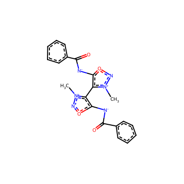 C[n+]1noc([N-]C(=O)c2ccccc2)c1-c1c([N-]C(=O)c2ccccc2)on[n+]1C